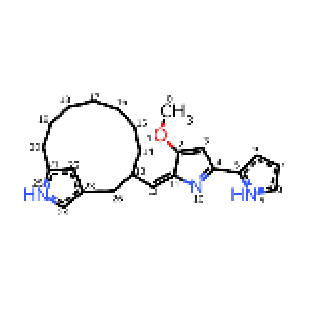 COC1=CC(c2ccc[nH]2)=N/C1=C/C1CCCCCCCc2cc(c[nH]2)C1